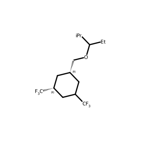 CCC(OC[C@@H]1CC(C(F)(F)F)C[C@H](C(F)(F)F)C1)C(C)C